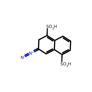 [N-]=[N+]=C1C=c2c(S(=O)(=O)O)cccc2=C(S(=O)(=O)O)C1